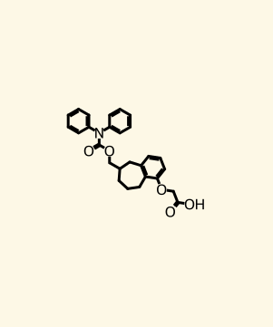 O=C(O)COc1cccc2c1CCCC(COC(=O)N(c1ccccc1)c1ccccc1)C2